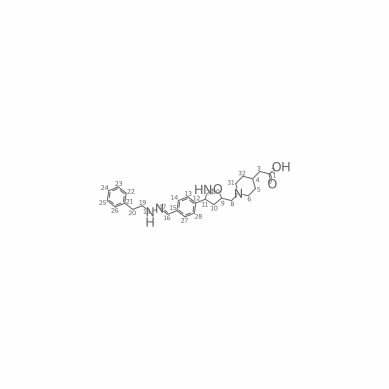 O=C(O)CC1CCN(CC2CC(c3ccc(C=NNCCc4ccccc4)cc3)NO2)CC1